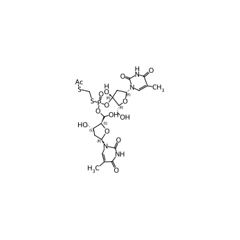 CC(=O)SCSP(=O)(OC(O)[C@H]1O[C@@H](n2cc(C)c(=O)[nH]c2=O)C[C@@H]1O)O[C@]1(O)C[C@H](n2cc(C)c(=O)[nH]c2=O)O[C@@H]1CO